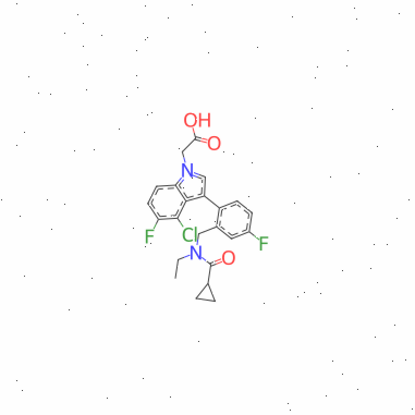 CCN(Cc1cc(F)ccc1-c1cn(CC(=O)O)c2ccc(F)c(Cl)c12)C(=O)C1CC1